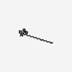 C=CCCCCC=CCCCCCCCCCCC(CC)(P(=O)=O)[N+](C)(C)C